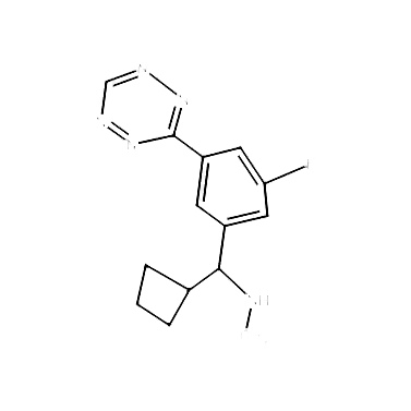 CNC(c1cc(F)cc(-c2nncnn2)c1)C1CCC1